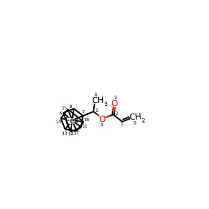 C=CC(=O)OC(C)[C]12[CH]3[CH]4[CH]5[CH]1[Fe]45321678[CH]2[CH]1[CH]6[CH]7[CH]28